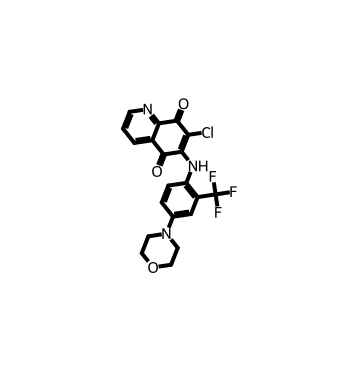 O=C1C(Nc2ccc(N3CCOCC3)cc2C(F)(F)F)=C(Cl)C(=O)c2ncccc21